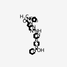 CN(C)C(=O)c1cc2cnc(Nc3ccc(N4CCN(C(O)N5CCCCC5)CC4)cn3)nc2n1C1CCCC1